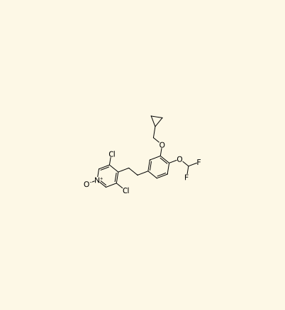 [O-][n+]1cc(Cl)c(CCc2ccc(OC(F)F)c(OCC3CC3)c2)c(Cl)c1